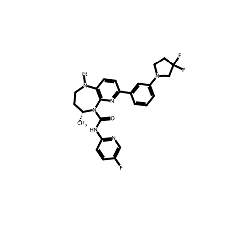 CCN1CC[C@@H](C)N(C(=O)Nc2ccc(F)cn2)c2nc(-c3cccc(N4CCC(F)(F)C4)c3)ccc21